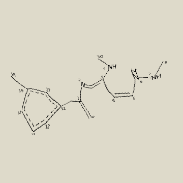 C=C(/N=C(\C=C/NNC)NC)c1cccc(C)c1